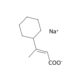 CC(=CC(=O)[O-])C1CCCCC1.[Na+]